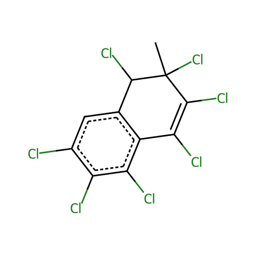 CC1(Cl)C(Cl)=C(Cl)c2c(cc(Cl)c(Cl)c2Cl)C1Cl